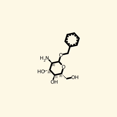 N[C@H]1C(OCc2ccccc2)O[C@H](CO)[C@@H](O)[C@@H]1O